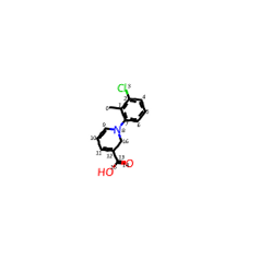 Cc1c(Cl)cccc1N1C=CC=C(C(=O)O)C1